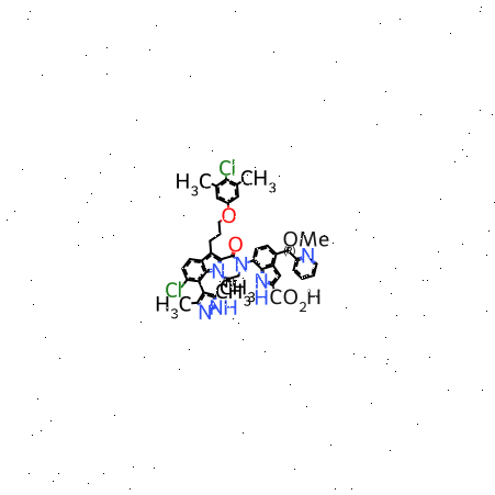 CO[C@@H](c1ccccn1)c1ccc(N2C[C@@H](C)n3c(c(CCCOc4cc(C)c(Cl)c(C)c4)c4ccc(Cl)c(-c5c(C)n[nH]c5C)c43)C2=O)c2[nH]c(C(=O)O)cc12